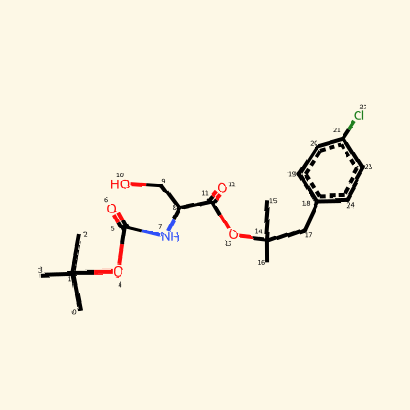 CC(C)(C)OC(=O)NC(CO)C(=O)OC(C)(C)Cc1ccc(Cl)cc1